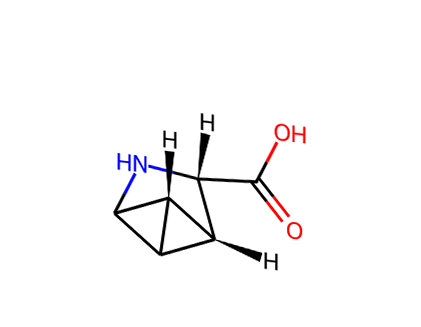 O=C(O)[C@H]1NC2C3[C@H]2[C@@H]31